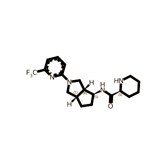 O=C(N[C@H]1CC[C@@H]2CN(c3cccc(C(F)(F)F)n3)C[C@@H]21)[C@@H]1CCCCN1